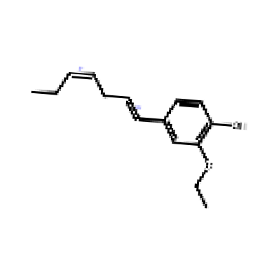 CC/C=C\C/C=C/c1ccc(O)c(OCC)c1